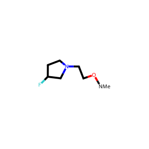 CNOCCN1CCC(F)C1